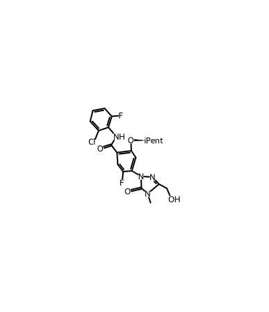 CCC[C@H](C)Oc1cc(-n2nc(CO)n(C)c2=O)c(F)cc1C(=O)Nc1c(F)cccc1Cl